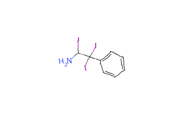 NC(I)C(I)(I)c1ccccc1